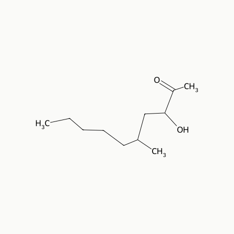 CCCCCC(C)CC(O)C(C)=O